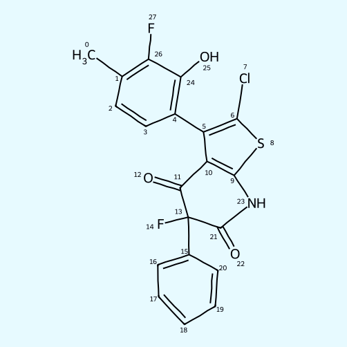 Cc1ccc(-c2c(Cl)sc3c2C(=O)C(F)(c2ccccc2)C(=O)N3)c(O)c1F